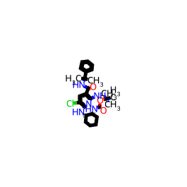 CC(C)(C)OC(=O)N[C@@H]1CCCC[C@@H]1Nc1nc(N)c(C(=O)NC(C)(C)c2ccccc2)cc1Cl